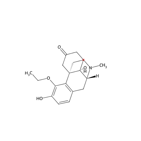 CCOc1c(O)ccc2c1[C@]13CCN(C)[C@H](C2)[C@]1(O)CCC(=O)C3